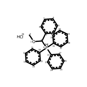 COC(c1ccccc1)[PH](c1ccccc1)(c1ccccc1)c1ccccc1.Cl